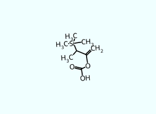 C=C(OC(=O)O)C(C)[Si](C)(C)C